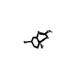 CC1=NC2CC(Br)CC[C@@H]2S1